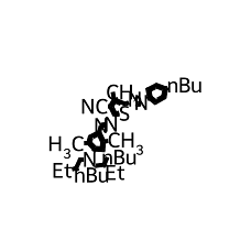 CCCCc1ccc(N=Nc2sc(N=Nc3cc(C)c(N(CC(CC)CCCC)CC(CC)CCCC)cc3C)c(C#N)c2C)cc1